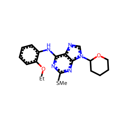 CCOc1ccccc1Nc1nc(SC)nc2c1ncn2C1CCCCO1